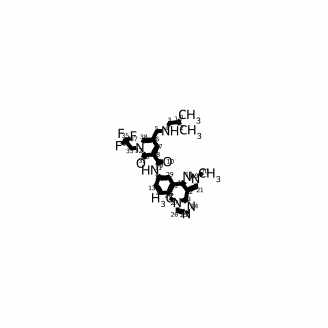 CC(C)CNCc1cc(C(=O)Nc2cccc(-c3nn(C)cc3-c3nncn3C)c2)c(=O)n(CC(F)(F)F)c1